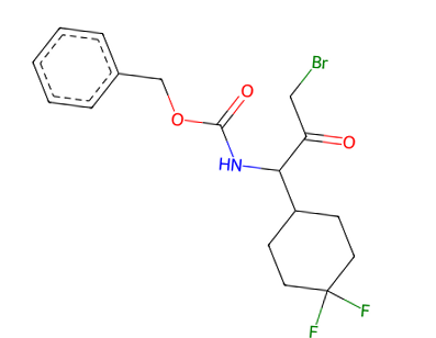 O=C(NC(C(=O)CBr)C1CCC(F)(F)CC1)OCc1ccccc1